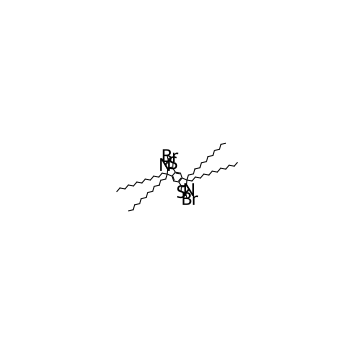 CCCCCCCCCCCCC1(CCCCCCCCCCCC)c2cc3c(cc2-c2sc(Br)nc21)C(CCCCCCCCCCCC)(CCCCCCCCCCCC)c1nc(Br)sc1-3